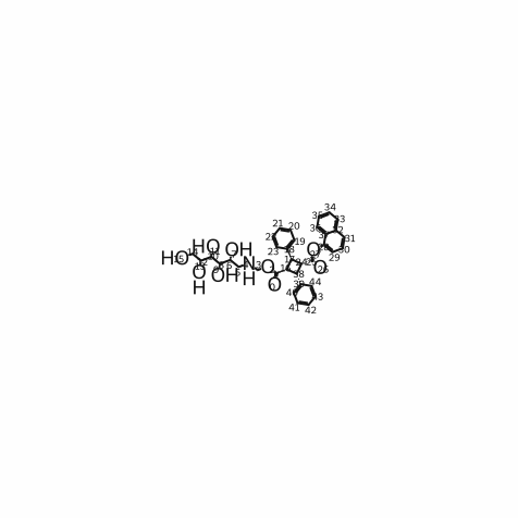 O=C(OCNC[C@H](O)[C@@H](O)[C@H](O)[C@H](O)CO)[C@H]1[C@@H](c2ccccc2)[C@H](C(=O)Oc2cccc3ccccc23)[C@@H]1c1ccccc1